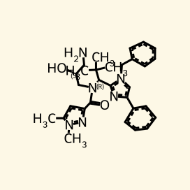 Cc1cc(C(=O)N(C[C@@H](O)CN)[C@@H](c2nc(-c3ccccc3)cn2Cc2ccccc2)C(C)(C)C)nn1C